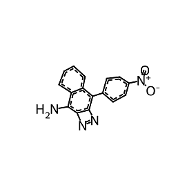 Nc1c2c(c(-c3ccc([N+](=O)[O-])cc3)c3ccccc13)N=N2